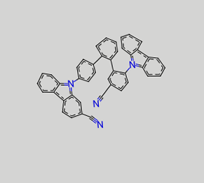 N#Cc1ccc(-n2c3ccccc3c3ccccc32)c(-c2ccccc2-c2ccc(-n3c4ccccc4c4ccc(C#N)cc43)cc2)c1